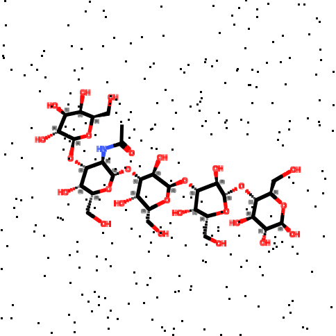 CC(=O)N[C@H]1[C@H](O[C@H]2[C@@H](O)[C@@H](CO)O[C@H](O[C@H]3[C@@H](O)[C@@H](CO)O[C@@H](O[C@H]4[C@H](O)[C@@H](O)[C@H](O)O[C@@H]4CO)[C@@H]3O)[C@@H]2O)O[C@H](CO)[C@H](O)[C@@H]1O[C@@H]1O[C@H](CO)[C@H](O)[C@H](O)[C@H]1O